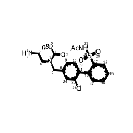 CCCCC(=O)N(CCN)Cc1ccc(-c2ccccc2S(=O)(=O)NC(C)=O)c(Cl)c1